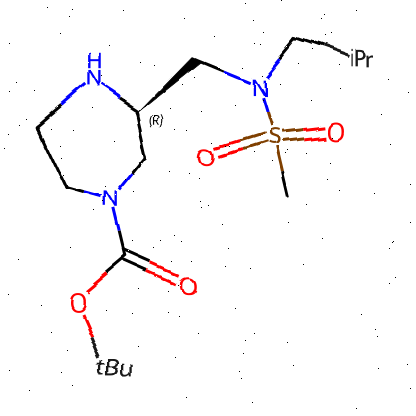 CC(C)CN(C[C@H]1CN(C(=O)OC(C)(C)C)CCN1)S(C)(=O)=O